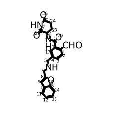 O=Cc1ccc(CNCc2cc3ccccc3o2)cc1C(=O)NC1CCC(=O)NC1=O